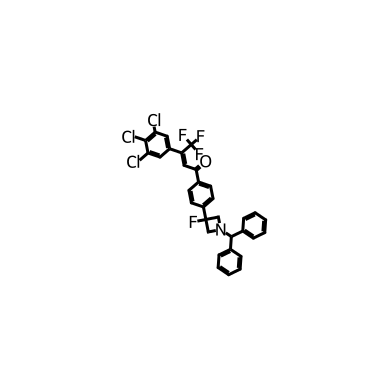 O=C(/C=C(/c1cc(Cl)c(Cl)c(Cl)c1)C(F)(F)F)c1ccc(C2(F)CN(C(c3ccccc3)c3ccccc3)C2)cc1